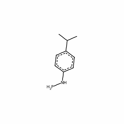 CC(C)c1ccc(NP)cc1